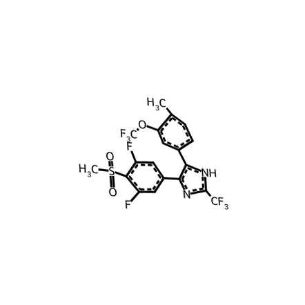 Cc1ccc(-c2[nH]c(C(F)(F)F)nc2-c2cc(F)c(S(C)(=O)=O)c(F)c2)cc1OC(F)(F)F